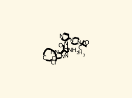 CC1(N2CCN(c3ccncc3NC(=O)c3c(N)nn4c3NC3(CCCCCCCCC3)C(Cl)C4)CC2)COC1